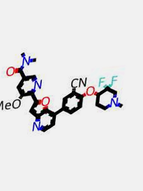 COc1cc(C(=O)N(C)C)cnc1-c1cc2nccc(-c3ccc(OC4CCN(C)CC4(F)F)c(C#N)c3)c2o1